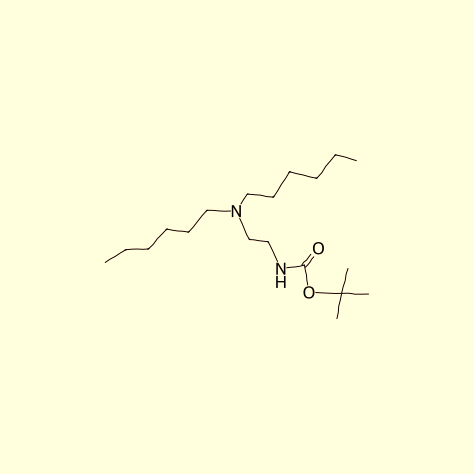 CCCCCCN(CCCCCC)CCNC(=O)OC(C)(C)C